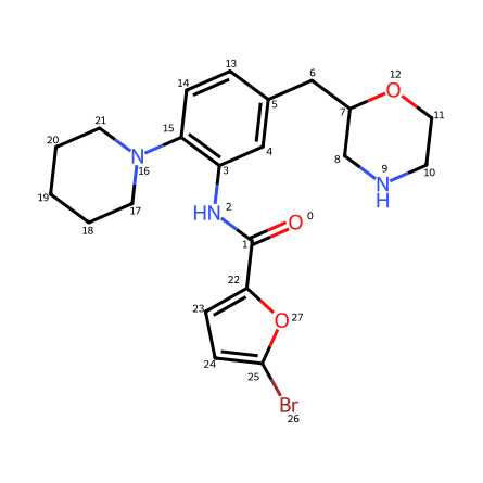 O=C(Nc1cc(CC2CNCCO2)ccc1N1CCCCC1)c1ccc(Br)o1